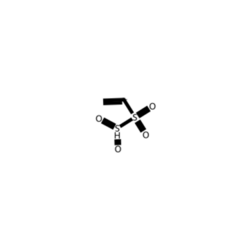 C=[C]S(=O)(=O)[SH](=O)=O